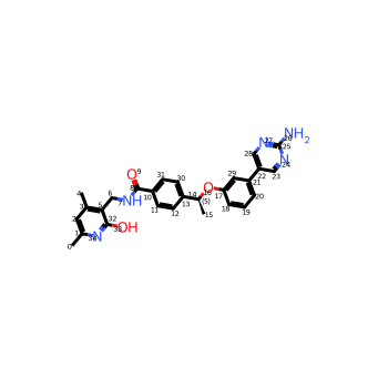 Cc1cc(C)c(CNC(=O)c2ccc([C@H](C)Oc3cccc(-c4cnc(N)nc4)c3)cc2)c(O)n1